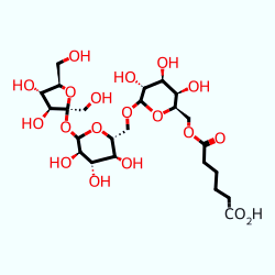 O=C(O)CCCCC(=O)OC[C@H]1OC(OC[C@H]2OC(O[C@]3(CO)O[C@H](CO)[C@@H](O)[C@@H]3O)[C@H](O)[C@@H](O)[C@@H]2O)[C@H](O)[C@@H](O)[C@H]1O